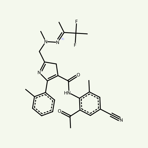 CC(=O)c1cc(C#N)cc(C)c1NC(=O)C1=C(c2ccccc2C)N=C(CN(C)/N=C(\C)C(C)(F)F)C1